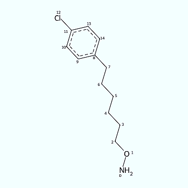 NOCCCCCCc1ccc(Cl)cc1